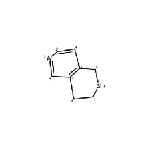 c1cc2c(cn1)CCSC2